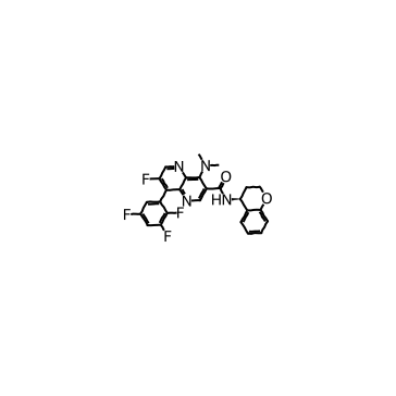 CN(C)c1c(C(=O)N[C@H]2CCOc3ccccc32)cnc2c(-c3cc(F)cc(F)c3F)c(F)cnc12